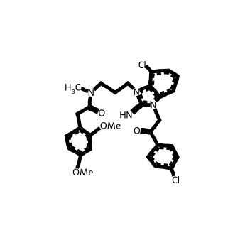 COc1ccc(CC(=O)N(C)CCCn2c(=N)n(CC(=O)c3ccc(Cl)cc3)c3cccc(Cl)c32)c(OC)c1